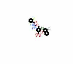 COC(OC)c1cc(NC(=O)NC(=O)c2c(F)cccc2F)c(C)c(Cl)c1Oc1ccc(Cl)c2ccccc12